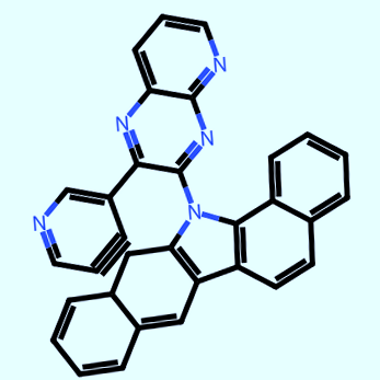 c1cncc(-c2nc3cccnc3nc2-n2c3c(c4ccc5ccccc5c42)C=C2C=CC=CC2C3)c#1